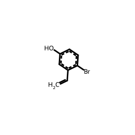 C=Cc1cc(O)ccc1Br